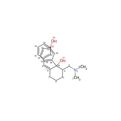 CN(C)CC1CCC/C(=C/c2ccccc2)C1(O)c1cccc(O)c1